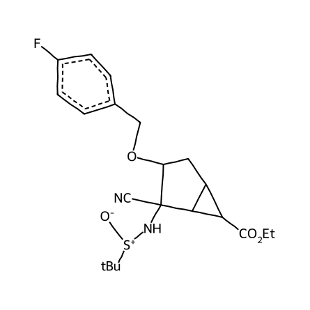 CCOC(=O)C1C2CC(OCc3ccc(F)cc3)C(C#N)(N[S+]([O-])C(C)(C)C)C21